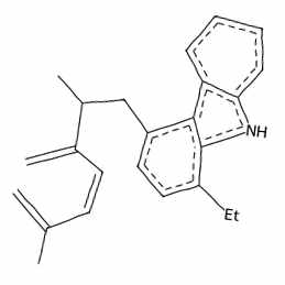 C=C(C)/C=C\C(=C)C(C)Cc1ccc(CC)c2[nH]c3ccccc3c12